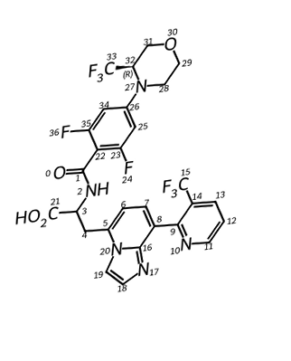 O=C(NC(Cc1ccc(-c2ncccc2C(F)(F)F)c2nccn12)C(=O)O)c1c(F)cc(N2CCOC[C@@H]2C(F)(F)F)cc1F